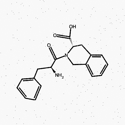 N[C@@H](Cc1ccccc1)C(=O)N1Cc2ccccc2C[C@H]1C(=O)O